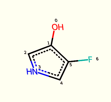 Oc1c[nH]cc1F